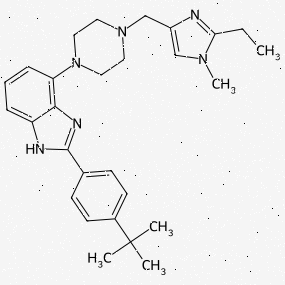 CCc1nc(CN2CCN(c3cccc4[nH]c(-c5ccc(C(C)(C)C)cc5)nc34)CC2)cn1C